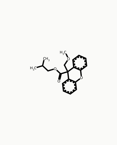 COCC1(C(=O)OCC(C)C)c2ccccc2Oc2ccccc21